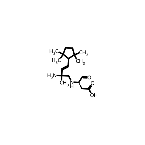 CC(N)(C=CC1C(C)(C)CCC1(C)C)CN[C@@H](C=O)CC(=O)O